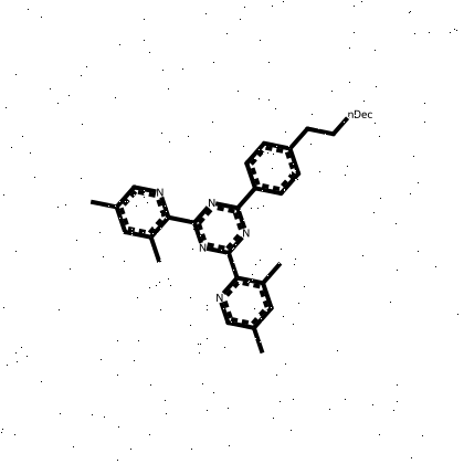 CCCCCCCCCCCCc1ccc(-c2nc(-c3ncc(C)cc3C)nc(-c3ncc(C)cc3C)n2)cc1